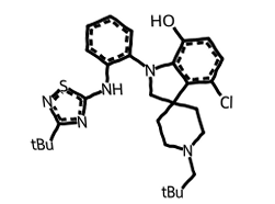 CC(C)(C)CN1CCC2(CC1)CN(c1ccccc1Nc1nc(C(C)(C)C)ns1)c1c(O)ccc(Cl)c12